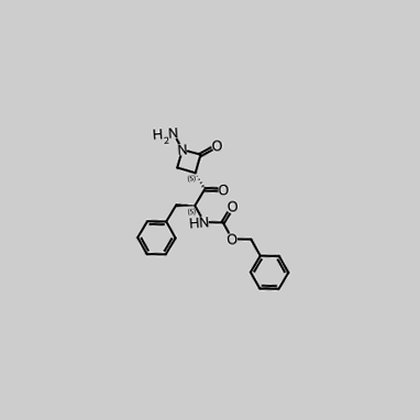 NN1C[C@@H](C(=O)[C@H](Cc2ccccc2)NC(=O)OCc2ccccc2)C1=O